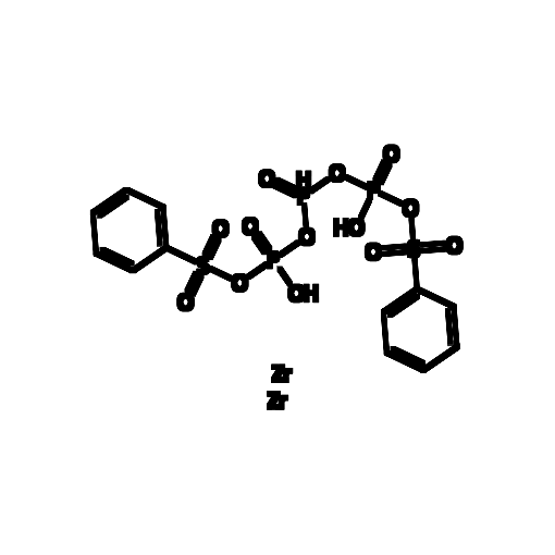 O=[PH](OP(=O)(O)OS(=O)(=O)c1ccccc1)OP(=O)(O)OS(=O)(=O)c1ccccc1.[Zr].[Zr]